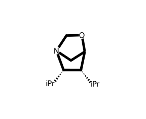 CC(C)[C@H]1C2CN(CO2)[C@H]1C(C)C